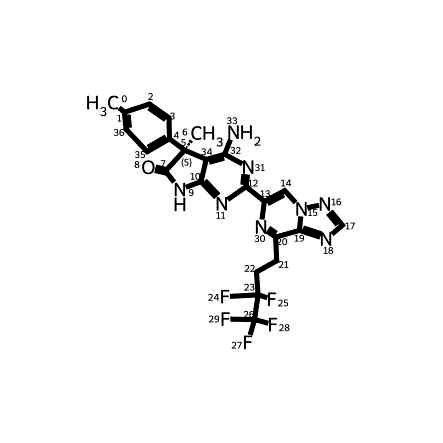 Cc1ccc([C@]2(C)C(=O)Nc3nc(-c4cn5ncnc5c(CCC(F)(F)C(F)(F)F)n4)nc(N)c32)cc1